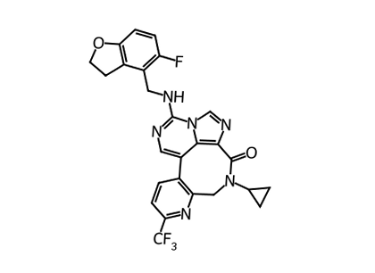 O=C1c2ncn3c(NCc4c(F)ccc5c4CCO5)ncc(c23)-c2ccc(C(F)(F)F)nc2CN1C1CC1